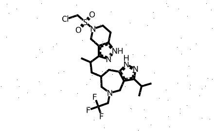 CC(C)c1n[nH]c2c1CN(CC(F)(F)F)CC(CC(C)c1n[nH]c3c1CN(S(=O)(=O)CCl)CC3)C2